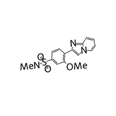 CNS(=O)(=O)c1ccc(-c2cn3ccccc3n2)c(OC)c1